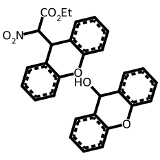 CCOC(=O)C(C1c2ccccc2Oc2ccccc21)[N+](=O)[O-].OC1c2ccccc2Oc2ccccc21